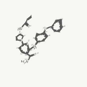 C=CC(=O)N[C@H]1CCN(c2ccc(C(N)=O)c(Nc3ccc(Oc4ccccc4)cc3)n2)C1